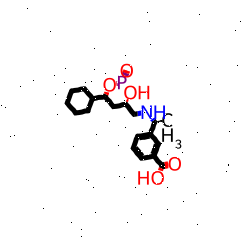 C[C@@H](NC[C@@H](O)CC(OP=O)C1CCCCC1)c1cccc(C(=O)O)c1